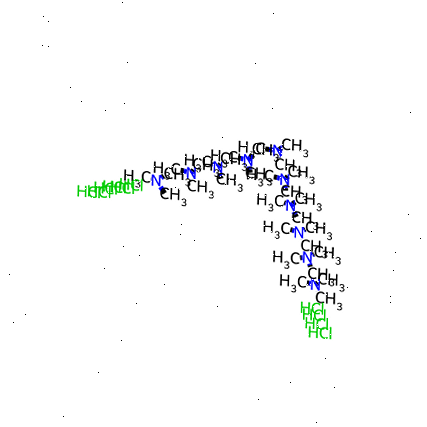 CN(C)C.CN(C)C.CN(C)C.CN(C)C.CN(C)C.CN(C)C.CN(C)C.CN(C)C.CN(C)C.CN(C)C.Cl.Cl.Cl.Cl.Cl.Cl.Cl.Cl.Cl.Cl